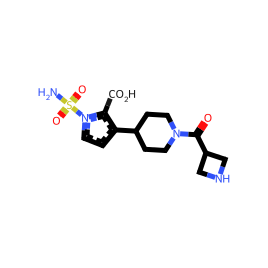 NS(=O)(=O)n1ccc(C2CCN(C(=O)C3CNC3)CC2)c1C(=O)O